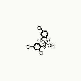 O=P(O)(Oc1ccc(Cl)cc1Cl)Oc1ccc(Cl)cc1Cl